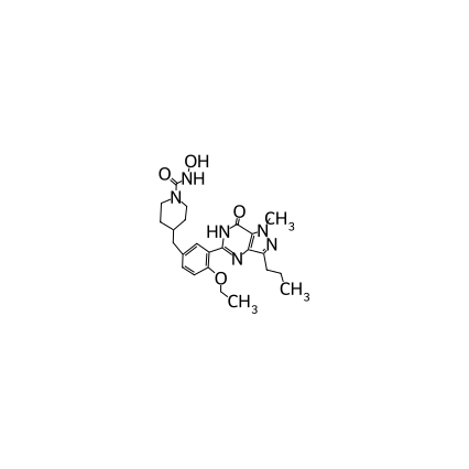 CCCc1nn(C)c2c(=O)[nH]c(-c3cc(CC4CCN(C(=O)NO)CC4)ccc3OCC)nc12